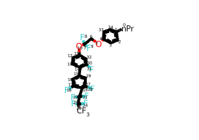 CCCc1ccc(OCC(F)(F)Oc2ccc(-c3cc(F)c(C(F)(F)C(F)(F)C(F)(F)F)c(F)c3)c(F)c2)cc1